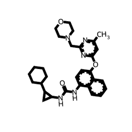 Cc1cc(Oc2ccc(NC(=O)NC3CC3C3CCCCC3)c3ccccc23)nc(CN2CCOCC2)n1